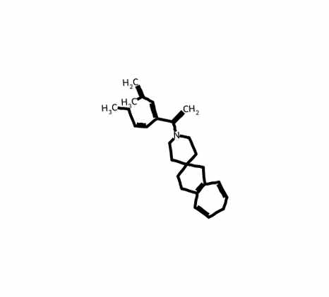 C=C(C)/C=C(\C=C/CC)C(=C)N1CCC2(CCC3=C(C=CCC=C3)C2)CC1